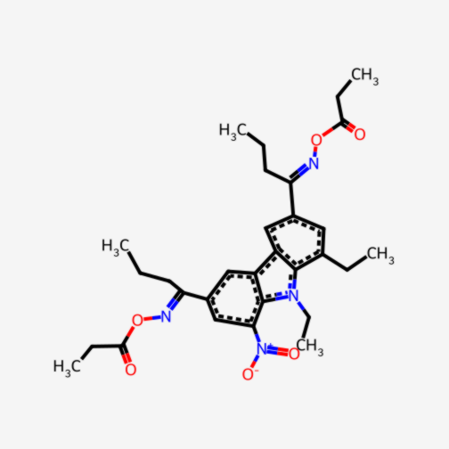 CCC/C(=N\OC(=O)CC)c1cc(CC)c2c(c1)c1cc(/C(CCC)=N/OC(=O)CC)cc([N+](=O)[O-])c1n2CC